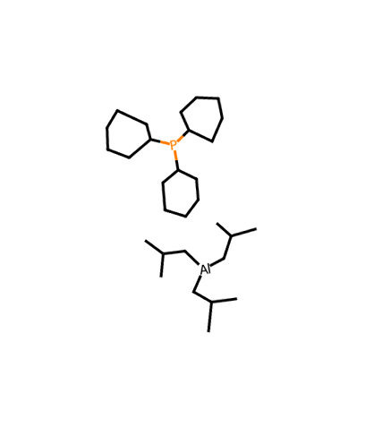 C1CCC(P(C2CCCCC2)C2CCCCC2)CC1.CC(C)[CH2][Al]([CH2]C(C)C)[CH2]C(C)C